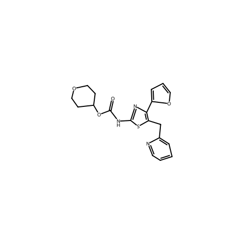 O=C(Nc1nc(-c2ccco2)c(Cc2ccccn2)s1)OC1CCOCC1